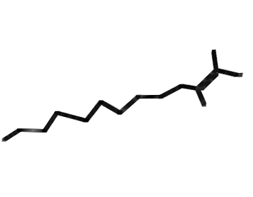 [CH2]/C(C)=C(\C)CCCCCCCCCC